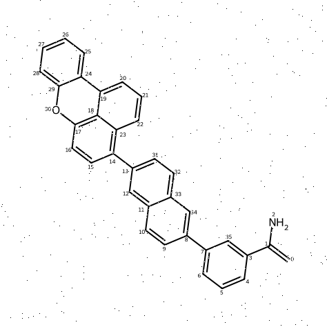 C=C(N)c1cccc(-c2ccc3cc(-c4ccc5c6c(cccc46)-c4ccccc4O5)ccc3c2)c1